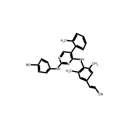 Cc1ccccc1-c1cnc(Nc2ccc(C#N)cc2)nc1Nc1c(C)cc(/C=C/C#N)cc1C